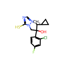 CC(C1CC1)C(O)(Cn1ncnc1S)c1ccc(F)cc1Cl